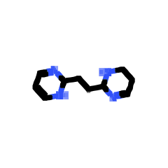 [CH](CC1N=CC=CN1)C1N=CCCN1